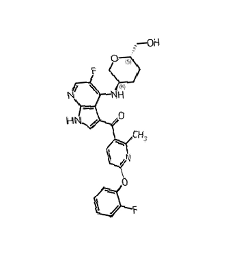 Cc1nc(Oc2ccccc2F)ccc1C(=O)c1c[nH]c2ncc(F)c(N[C@@H]3CC[C@@H](CO)OC3)c12